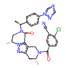 C[C@@H]1Cc2nn3c(c2CN1C(=O)c1ccc(Cl)c(C#N)c1)C(=O)N([C@@H](C)c1ccc(-n2cncn2)cc1)C[C@H]3C